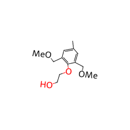 COCc1cc(C)cc(COC)c1OCCO